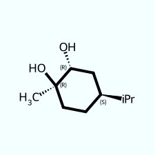 CC(C)[C@H]1CC[C@@](C)(O)[C@H](O)C1